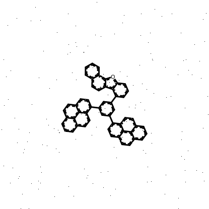 c1ccc2c(c1)ccc1c2oc2cccc(-c3cc(-c4ccc5ccc6cccc7ccc4c5c67)cc(-c4ccc5ccc6cccc7ccc4c5c67)c3)c21